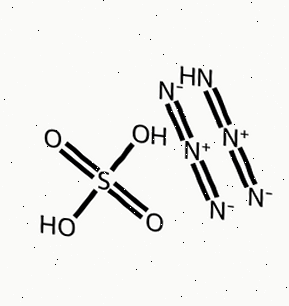 O=S(=O)(O)O.[N-]=[N+]=N.[N-]=[N+]=[N-]